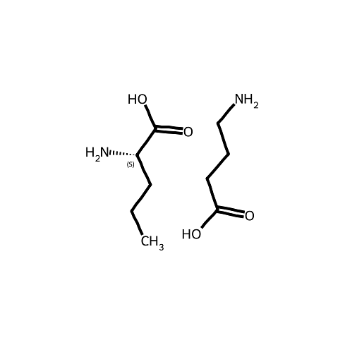 CCC[C@H](N)C(=O)O.NCCCC(=O)O